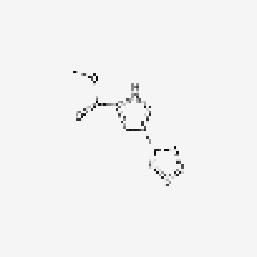 COC(=O)c1cc(-c2ccsc2)c[nH]1